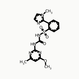 COc1cc(C)nc(NC(=O)NS(=O)(=O)c2ccccc2-c2nccn2C)n1